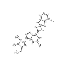 OCC1O[C@@H](n2cnc3c(N4CC5(Cc6cccc(F)c6C5)C4)nc(Cl)nc32)C(O)C1O